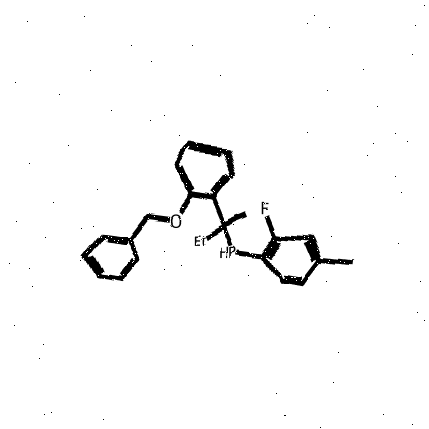 CCC(C)(Pc1ccc(C)cc1F)c1ccccc1OCc1ccccc1